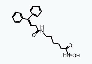 O=C(CCCCCNC(=O)CC=C(c1ccccc1)c1ccccc1)NO